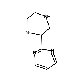 c1cnc(C2CNCC[N]2)nc1